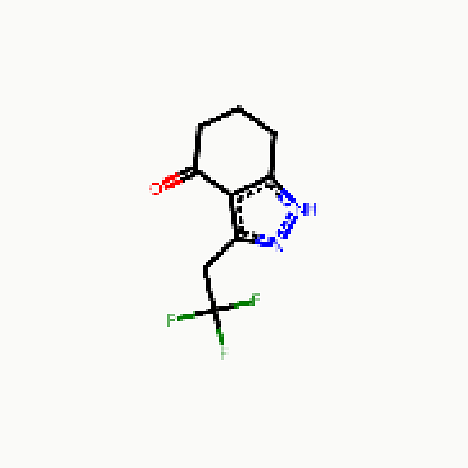 O=C1CCCc2[nH]nc(CC(F)(F)F)c21